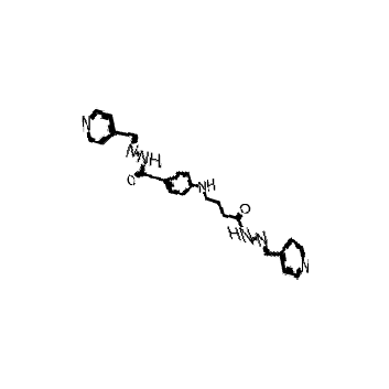 O=C(CCCNc1ccc(C(=O)N/N=C/c2ccncc2)cc1)N/N=C/c1ccncc1